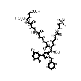 CC(C)(C)[C@H](c1cc(-c2cc(F)ccc2F)cn1Cc1ccccc1)N(CCCNC(=O)OCC[Si](C)(C)C)C(=O)CSCCC(=O)NCCC(=O)N[C@@H](CCC(=O)O)C(=O)O